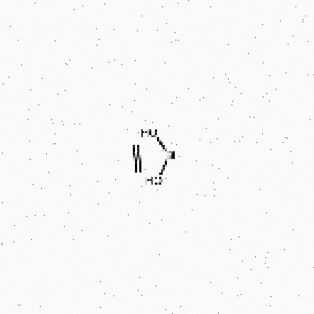 C=C.OBO